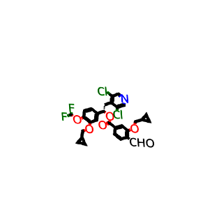 O=Cc1ccc(C(=O)O[C@@H](Cc2c(Cl)cncc2Cl)c2ccc(OC(F)F)c(OCC3CC3)c2)cc1OCC1CC1